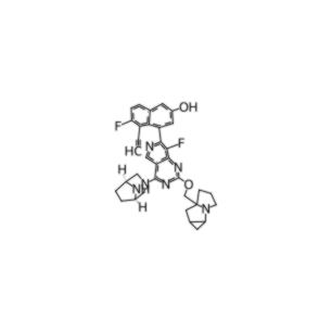 C#Cc1c(F)ccc2cc(O)cc(-c3ncc4c(N5C[C@H]6CC[C@@H](C5)N6)nc(OCC56CCCN5C5CC5C6)nc4c3F)c12